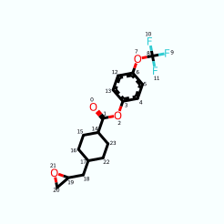 O=C(Oc1ccc(OC(F)(F)F)cc1)C1CCC(CC2CO2)CC1